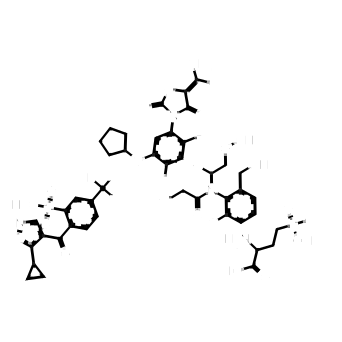 CC(C)=C1OC(=O)N(c2cc(OC3CCCC3)c(Cl)cc2F)C1=O.CCc1cccc(C)c1N(C(=O)CCl)C(C)COC.CP(=O)(O)CCC(N)C(=O)O.CS(=O)(=O)c1cc(C(F)(F)F)ccc1C(=O)c1cnoc1C1CC1